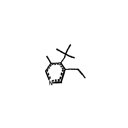 CCc1cncc(C)c1C(C)(C)C